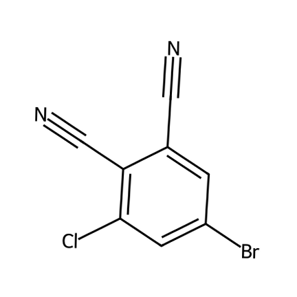 N#Cc1cc(Br)cc(Cl)c1C#N